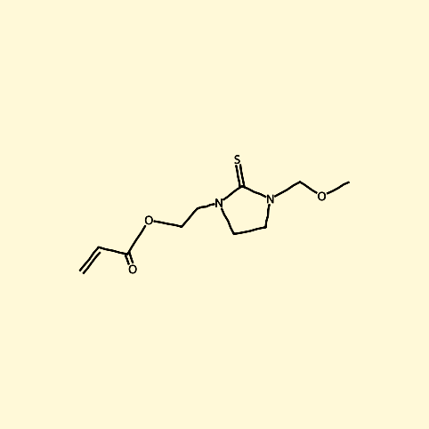 C=CC(=O)OCCN1CCN(COC)C1=S